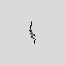 CCCCCCOCCCCc1ccc(-c2ccc([SiH2]CC(C)CCCCCC(C)CCCCC)nn2)cn1